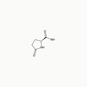 [NH]C(=O)[C@@H]1CCC(=O)N1